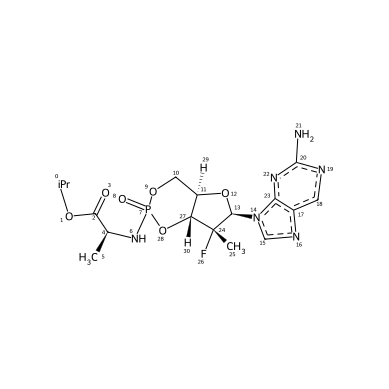 CC(C)OC(=O)[C@H](C)NP1(=O)OC[C@H]2O[C@@H](n3cnc4cnc(N)nc43)[C@](C)(F)[C@@H]2O1